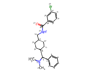 CN(C)C(c1ccccc1)C1CCC(CNC(=O)c2cccc(Br)c2)CC1